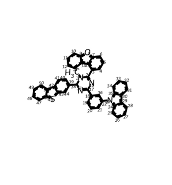 CN1C(c2cccc3oc4ccccc4c23)=NC(c2cccc(-n3c4ccccc4c4ccccc43)c2)=NC1c1ccc2c(c1)sc1ccccc12